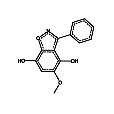 COc1cc(O)c2onc(-c3ccccc3)c2c1O